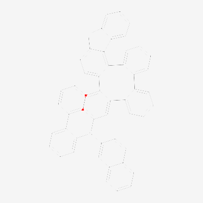 c1ccc(-c2ccccc2N(c2ccc3c(c2)-c2ccccc2-c2ccccc2-c2c-3ccc3oc4ccccc4c23)c2ccc3ccccc3c2)cc1